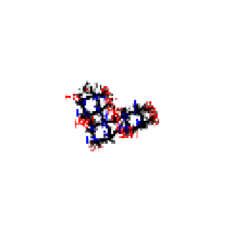 CC1=C(CCC(=O)[O-])c2cc3[nH]c(cc4nc(cc5[nH]c(cc1n2)c(C)c5C(C)O)C(C)=C4C(C)O)c(C)c3CCC(=O)[O-].CC1=C(CCC(=O)[O-])c2cc3[nH]c(cc4nc(cc5[nH]c(cc1n2)c(C)c5C(C)O)C(C)=C4C(C)O)c(C)c3CCC(=O)[O-].CC1=C(CCC(=O)[O-])c2cc3[nH]c(cc4nc(cc5[nH]c(cc1n2)c(C)c5C(C)O)C(C)=C4C(C)O)c(C)c3CCC(=O)[O-].[Cr+3].[Cr+3]